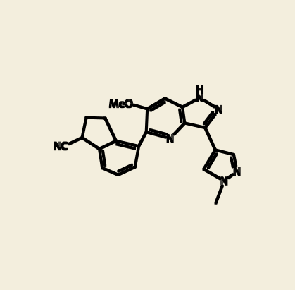 COc1cc2[nH]nc(-c3cnn(C)c3)c2nc1-c1cccc2c1CCC2C#N